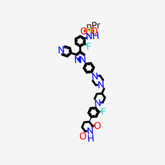 CCCS(=O)(=O)Nc1cccc(-c2cn(-c3ccc(N4CCN(CC5CCN(c6ccc([C@@H]7CCC(=O)NC7=O)cc6F)CC5)CC4)cc3)nc2-c2ccncc2)c1F